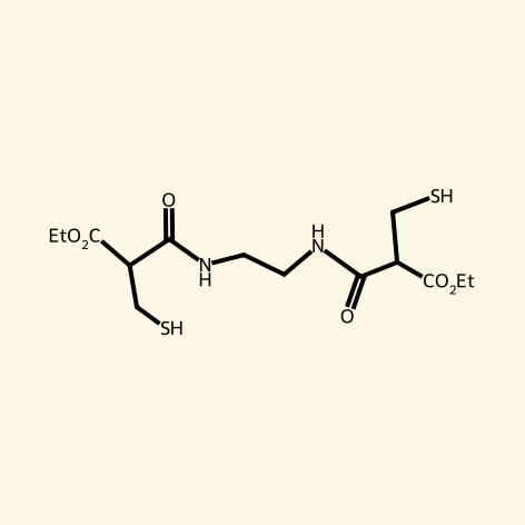 CCOC(=O)C(CS)C(=O)NCCNC(=O)C(CS)C(=O)OCC